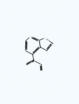 C=CC(=C)c1ccnc2[nH]ccc12